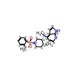 Cc1ccccc1S(=O)(=O)N1CC[C@@H](C)[C@@H](N(C)c2ccnc3[nH]ccc23)C1